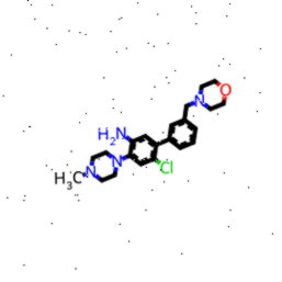 CN1CCN(c2cc(Cl)c(-c3cccc(CN4CCOCC4)c3)cc2N)CC1